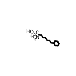 N[C@@H](CCCCCCc1ccccc1)C(=O)O